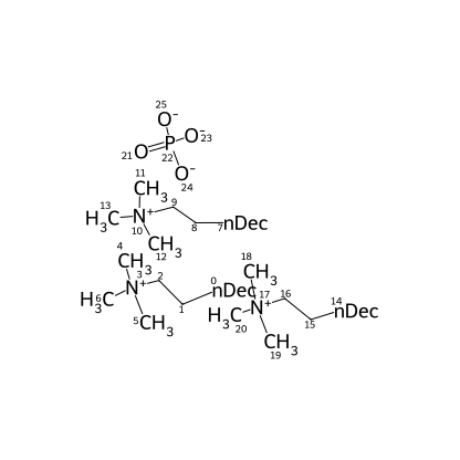 CCCCCCCCCCCC[N+](C)(C)C.CCCCCCCCCCCC[N+](C)(C)C.CCCCCCCCCCCC[N+](C)(C)C.O=P([O-])([O-])[O-]